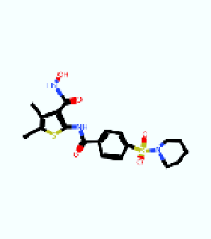 Cc1sc(NC(=O)c2ccc(S(=O)(=O)N3CCCCC3)cc2)c(C(=O)NO)c1C